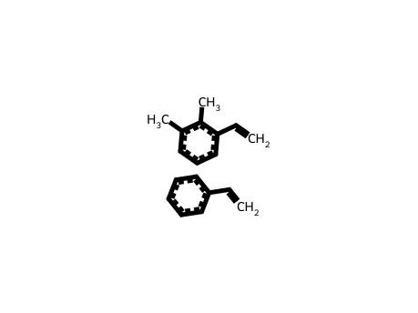 C=Cc1cccc(C)c1C.C=Cc1ccccc1